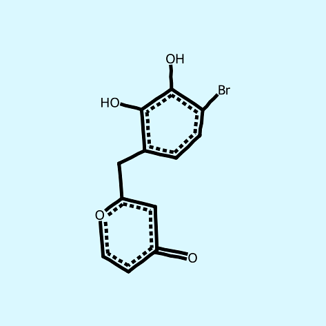 O=c1ccoc(Cc2ccc(Br)c(O)c2O)c1